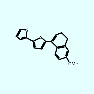 COc1ccc2c(c1)CCC=C2c1ccc(-c2cccs2)s1